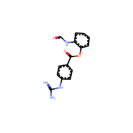 N=C(N)Nc1ccc(C(=O)Oc2ccccc2NC=O)cc1